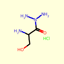 Cl.NC(CO)C(=O)N(N)N